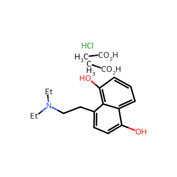 CC(=O)O.CC(=O)O.CCN(CC)CCc1ccc(O)c2cccc(O)c12.Cl